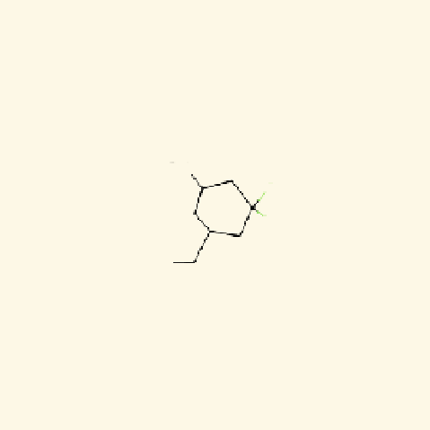 CC(C)CC1CC(C(F)(F)F)CC(F)(F)C1